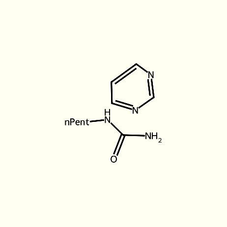 CCCCCNC(N)=O.c1cncnc1